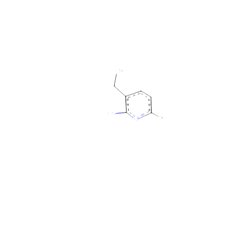 N#CCc1ccc(Br)nc1N